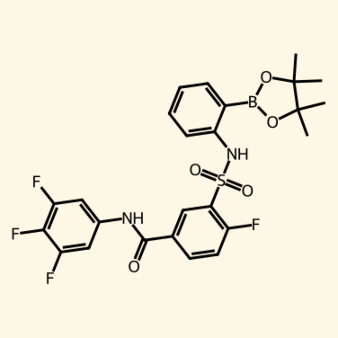 CC1(C)OB(c2ccccc2NS(=O)(=O)c2cc(C(=O)Nc3cc(F)c(F)c(F)c3)ccc2F)OC1(C)C